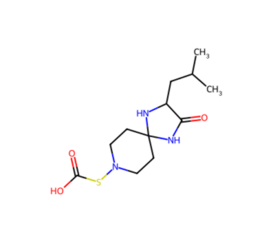 CC(C)CC1NC2(CCN(SC(=O)O)CC2)NC1=O